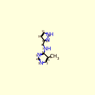 Cc1cn[c]nc1NCc1cc[nH]n1